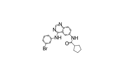 O=C(Nc1ccc2ncnc(Nc3cccc(Br)c3)c2c1)C1CCCC1